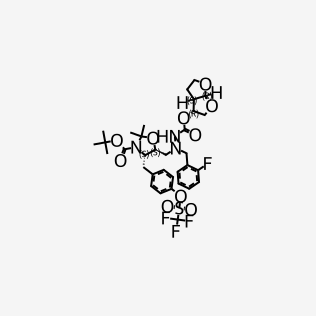 CC(C)(C)OC(=O)N1[C@@H](Cc2ccc(OS(=O)(=O)C(F)(F)F)cc2)[C@H](CN(Cc2ccccc2F)NC(=O)O[C@H]2CO[C@H]3OCC[C@H]32)OC1(C)C